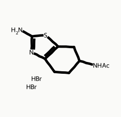 Br.Br.CC(=O)NC1CCc2nc(N)sc2C1